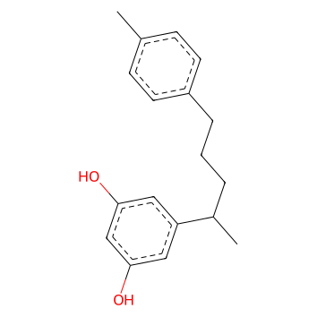 Cc1ccc(CCCC(C)c2cc(O)cc(O)c2)cc1